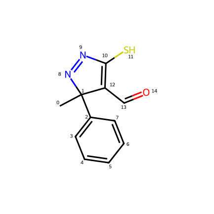 CC1(c2ccccc2)N=NC(S)=C1C=O